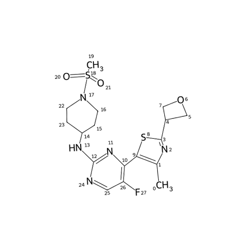 Cc1nc(C2COC2)sc1-c1nc(NC2CCN(S(C)(=O)=O)CC2)ncc1F